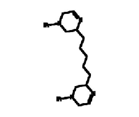 CC(C)N1CC=NC(CCCCCC2CN(C(C)C)CC=N2)C1